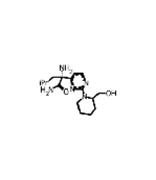 CC(C)C[C@](N)(C(N)=O)c1ccnc(N2CCCCC2CO)n1